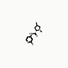 CC1C[C@@H](C(=O)Nc2ccnc(F)c2)N(C)C1